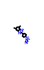 Cc1cc(C)c2c(c1)nc(-c1ccc(N=[N+]=[N-])cc1)n2C